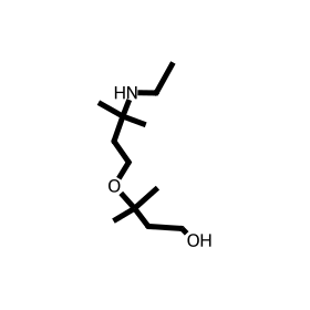 CCNC(C)(C)CCOC(C)(C)CCO